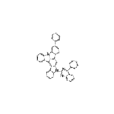 c1ccc(-c2ccc3c4cc5c(c6ccccc6n5-c5nc(-c6ccccc6)c6ccccc6n5)c5c6ccccc6n(c3c2)c45)cc1